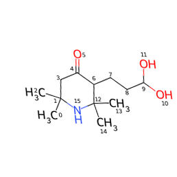 CC1(C)CC(=O)C(CCC(O)O)C(C)(C)N1